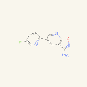 Nc1noc2ncc(-c3ccc(F)cn3)cc12